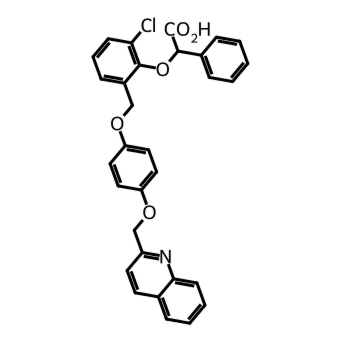 O=C(O)C(Oc1c(Cl)cccc1COc1ccc(OCc2ccc3ccccc3n2)cc1)c1ccccc1